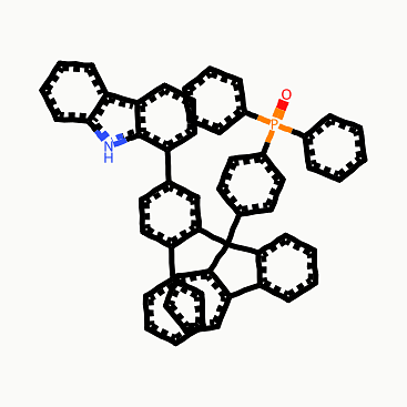 O=P(c1ccccc1)(c1ccccc1)c1ccc(C2(c3cc(-c4cccc5c4[nH]c4ccccc45)ccc3-c3ccccc3)c3ccccc3-c3ccccc32)cc1